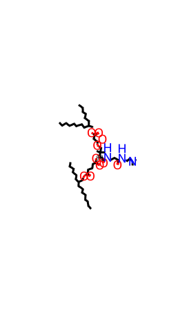 CCCCCCCCC(CCCCCC)COC(=O)CCCC(=O)O[C@@H](C(=O)NCCC(=O)NCCN(C)C)C(C)(C)COC(=O)CC(=O)OCC(CCCCCC)CCCCCCCC